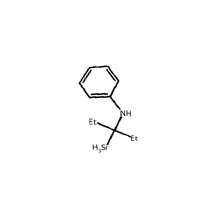 CCC([SiH3])(CC)Nc1ccccc1